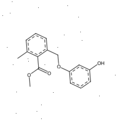 COC(=O)c1c(C)cccc1COc1cccc(O)c1